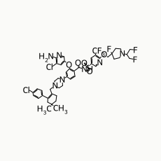 CC1(C)CCC(CN2CCN(c3ccc(C(=O)NS(=O)(=O)c4cnc(OCC5(F)CCN(C(CF)CF)CC5)c(C(F)(F)F)c4)c(Oc4cnc(N)c(Cl)c4)c3)CC2)=C(c2ccc(Cl)cc2)C1